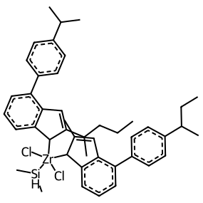 CCCC(C)C1=Cc2c(-c3ccc(C(C)C)cc3)cccc2[CH]1[Zr]([Cl])([Cl])([CH]1C(C)=Cc2c(-c3ccc(C(C)CC)cc3)cccc21)[SiH](C)C